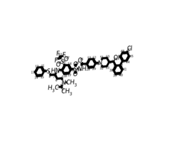 CC(C)N(C)CCC(CSc1ccccc1)Nc1ccc(S(=O)(=O)NC(=O)c2ccc(N3CCC([C@H](O)c4ccccc4-c4ccc(Cl)cc4)CC3)cc2)cc1S(=O)(=O)C(F)(F)F